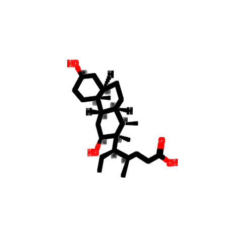 CC[C@H]([C@H](C)CCC(=O)O)[C@@]1(C)[C@@H](O)C[C@H]2[C@@H](CC[C@@H]3C[C@H](O)CC[C@@]32C)[C@@H]1C